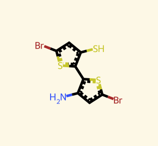 Nc1cc(Br)sc1-c1sc(Br)cc1S